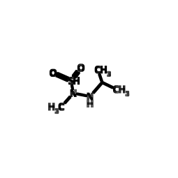 CC(C)NN(C)[SH](=O)=O